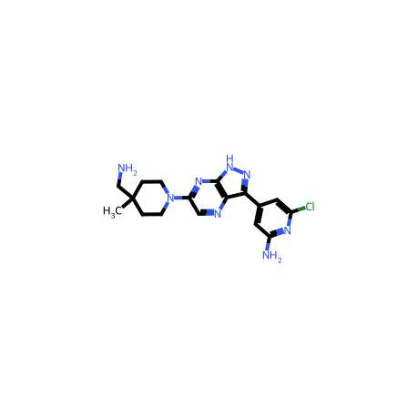 CC1(CN)CCN(c2cnc3c(-c4cc(N)nc(Cl)c4)n[nH]c3n2)CC1